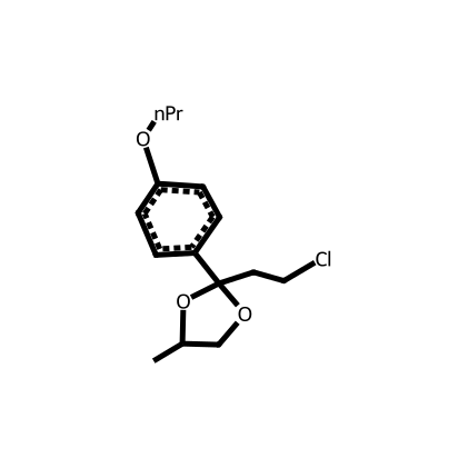 CCCOc1ccc(C2(CCCl)OCC(C)O2)cc1